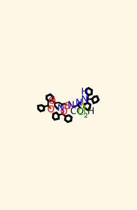 O=C1CC(CO/N=C(\C(=O)O)c2nc(NC(c3ccccc3)(c3ccccc3)c3ccccc3)sc2Cl)N(OC(c2ccccc2)c2ccccc2)C=C1OC(c1ccccc1)c1ccccc1